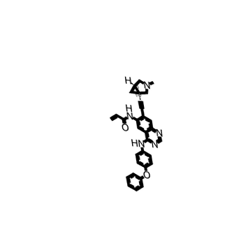 C=CC(=O)Nc1cc2c(Nc3ccc(Oc4ccccc4)cc3)ncnc2cc1C#C[C@]12C[C@H]1CN(C)C2